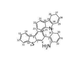 NC1=C(c2ccc3c(c2)sc2ccccc23)C(n2c3c(c4ccccc42)CCC=C3)CC=C1